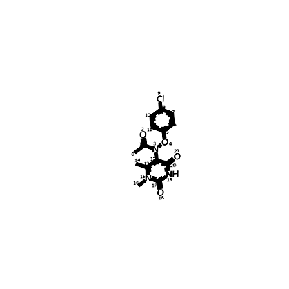 CC(=O)N(Oc1ccc(Cl)cc1)c1c(C)n(C)c(=O)[nH]c1=O